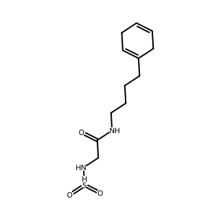 O=C(CN[SH](=O)=O)NCCCCC1=CCC=CC1